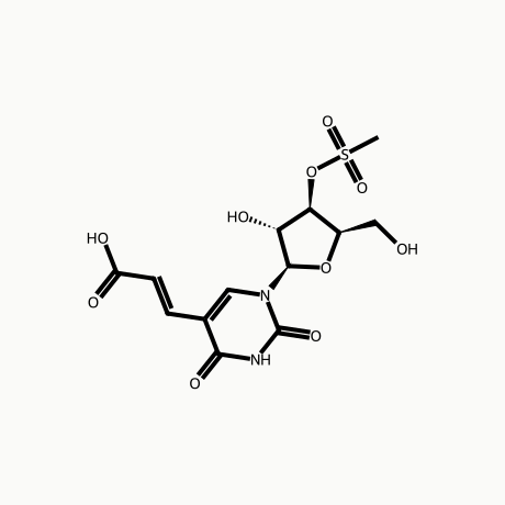 CS(=O)(=O)O[C@@H]1[C@@H](O)[C@H](n2cc(/C=C/C(=O)O)c(=O)[nH]c2=O)O[C@@H]1CO